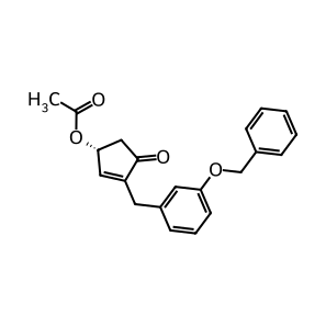 CC(=O)O[C@H]1C=C(Cc2cccc(OCc3ccccc3)c2)C(=O)C1